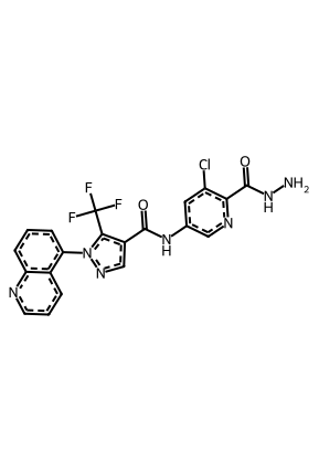 NNC(=O)c1ncc(NC(=O)c2cnn(-c3cccc4ncccc34)c2C(F)(F)F)cc1Cl